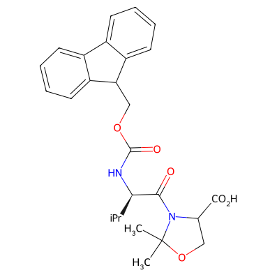 CC(C)[C@@H](NC(=O)OCC1c2ccccc2-c2ccccc21)C(=O)N1C(C(=O)O)COC1(C)C